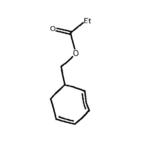 CCC(=O)OCC1C=CC=CC1